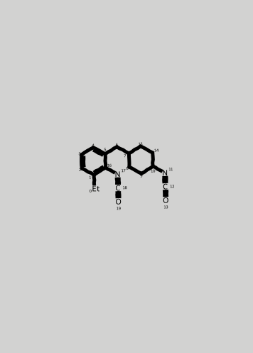 CCc1cccc(CC2CCC(N=C=O)CC2)c1N=C=O